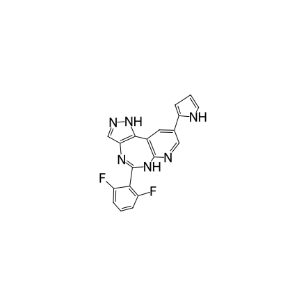 Fc1cccc(F)c1C1=Nc2cn[nH]c2-c2cc(-c3ccc[nH]3)cnc2N1